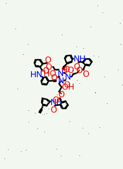 C#Cc1cccc(NC(=O)c2ccccc2C(=O)OCC(O)Cn2c(=O)n(CC(O)COC(=O)c3ccccc3C(=O)Nc3cccc(C#C)c3)c(=O)n(CC(O)COC(=O)c3ccccc3C(=O)Nc3cccc(C#C)c3)c2=O)c1